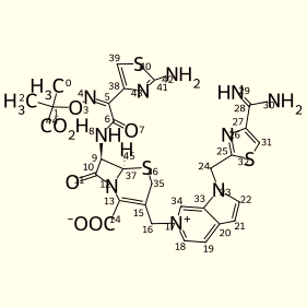 CC(C)(O/N=C(\C(=O)N[C@@H]1C(=O)N2C(C(=O)[O-])=C(C[n+]3ccc4ccn(Cc5nc(C(=N)N)cs5)c4c3)CS[C@H]12)c1csc(N)n1)C(=O)O